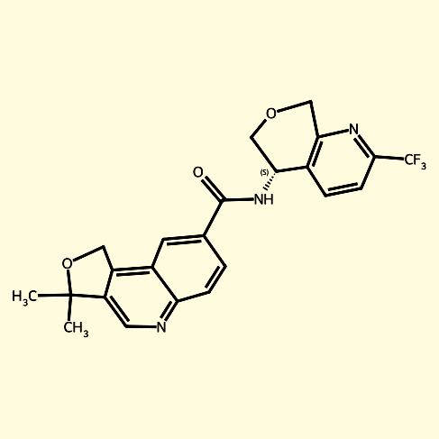 CC1(C)OCc2c1cnc1ccc(C(=O)N[C@@H]3COCc4nc(C(F)(F)F)ccc43)cc21